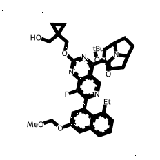 CCc1cccc2cc(OCOC)cc(-c3ncc4c(N5CCC6CCC(C5)N6C(=O)OC(C)(C)C)nc(OCC5(CO)CC5)nc4c3F)c12